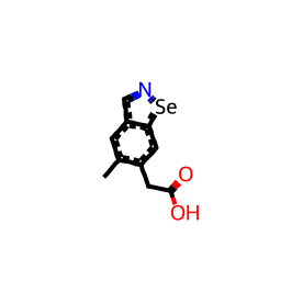 Cc1cc2cn[se]c2cc1CC(=O)O